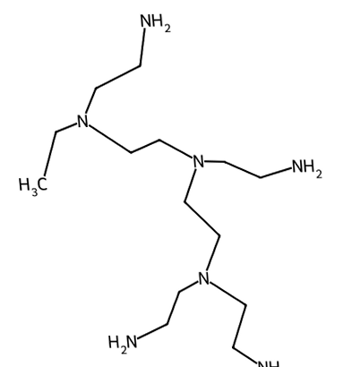 CCN(CCN)CCN(CCN)CCN(CCN)CCN